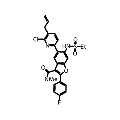 C=CCc1ccc(-c2cc3c(C(=O)NC)c(-c4ccc(F)cc4)oc3cc2NS(=O)(=O)CC)nc1Cl